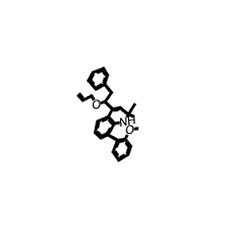 C=CCOC(Cc1ccccc1)C1=CC(C)(C)Nc2c1cccc2-c1ccccc1OC